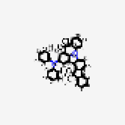 CC1(C)c2ccccc2-c2ccc3c(c21)c1cc(N(c2ccccc2)c2ccccc2)cc2c1n3-c1ccccc1C2(C)C